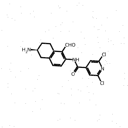 N[C@H]1CCc2c(ccc(NC(=O)c3cc(Cl)nc(Cl)c3)c2C=O)C1